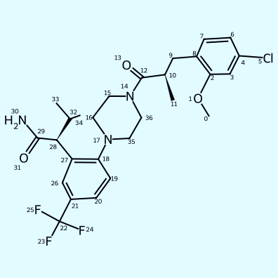 COc1cc(Cl)ccc1C[C@@H](C)C(=O)N1CCN(c2ccc(C(F)(F)F)cc2[C@@H](C(N)=O)C(C)C)CC1